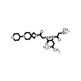 CNCC(=O)NC(CC(C)C)C(=O)NCC(=O)N1CC2(CCN(C3CCOCC3)CC2)C1